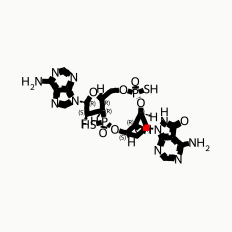 Nc1ncnc2c1ncn2[C@@H]1O[C@@H]2COP(=O)(S)O[C@@H]3[C@H](O)[C@H](C[C@H]3n3[nH]c(=O)c4c(N)ncnc43)OP(=O)(S)[C@H]2[C@H]1F